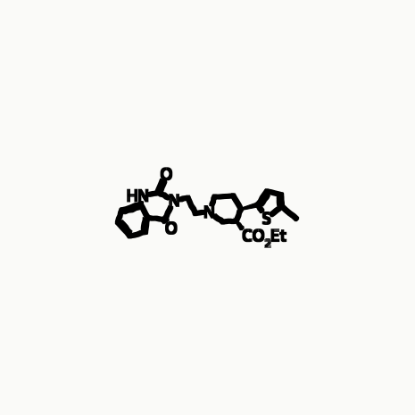 CCOC(=O)[C@H]1CN(CCn2c(=O)[nH]c3ccccc3c2=O)CC[C@H]1c1ccc(C)s1